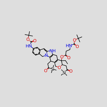 CCC1(OC(=O)CCNC(=O)OC(C)(C)C)C2=C(COC1CC(=O)[Si](C)(C)C)C(CC(=O)[Si](C)(C)C)C1=C(C2)NC2=Cc3cc(NC(=O)OC(C)(C)C)ccc3CN21